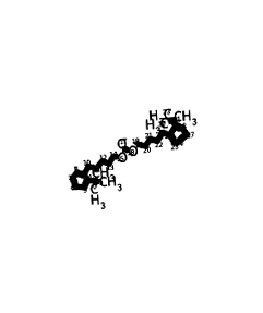 CC(C)(C)c1ccccc1CCCCCOC(=O)OCCCCCc1ccccc1C(C)(C)C